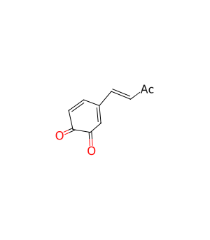 CC(=O)C=CC1=CC(=O)C(=O)C=C1